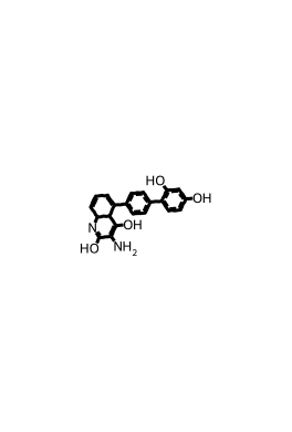 NC1=C(O)C2C(c3ccc(-c4ccc(O)cc4O)cc3)=CC=CC2N=C1O